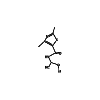 CCOC(C#N)NC(=O)c1sc(C)nc1C